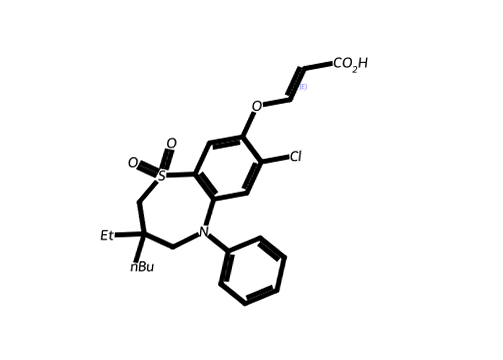 CCCCC1(CC)CN(c2ccccc2)c2cc(Cl)c(O/C=C/C(=O)O)cc2S(=O)(=O)C1